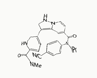 CNC(=O)C1=CC=C(C2=C3C=C(C(=O)N(c4ccc(C#N)cc4)C(C)C)C=CN3NC2)CN1